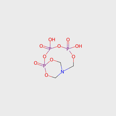 O=P1(O)OCN2COP(=O)(OC2)OP(=O)(O)O1